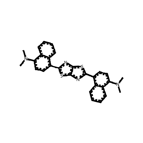 CN(C)c1ccc(-c2nc3sc(-c4ccc(N(C)C)c5ccccc45)nc3s2)c2ccccc12